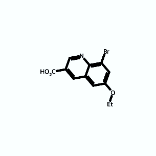 CCOc1cc(Br)c2ncc(C(=O)O)cc2c1